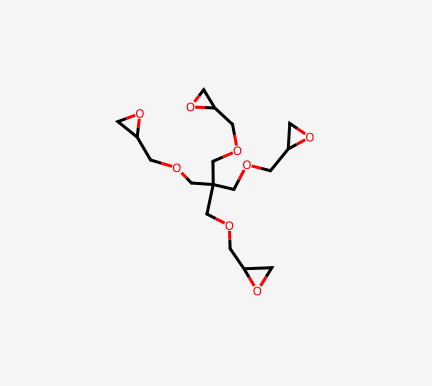 C(OCC(COCC1CO1)(COCC1CO1)COCC1CO1)C1CO1